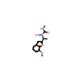 CNC(=O)N(O)C(C)c1cc2cccc(OC)c2o1